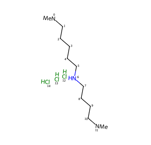 CNCCCCCNCCCCNC.Cl.Cl.Cl